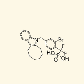 O=P(O)(O)C(F)(F)c1ccc(Cn2c3c(c4ccccc42)CCCCCC3)cc1Br